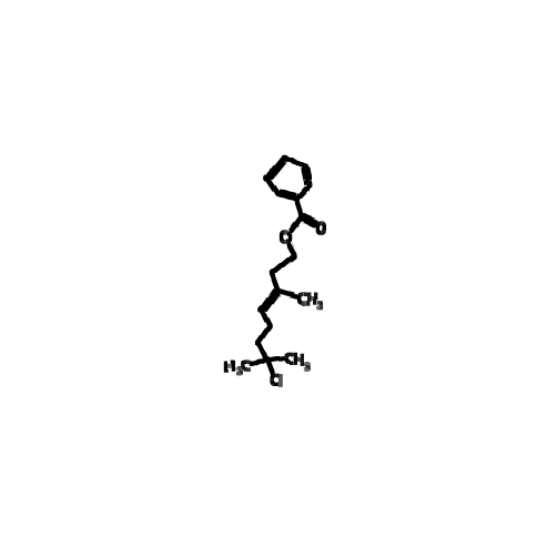 C/C(=C\CCC(C)(C)Cl)CCOC(=O)c1ccccc1